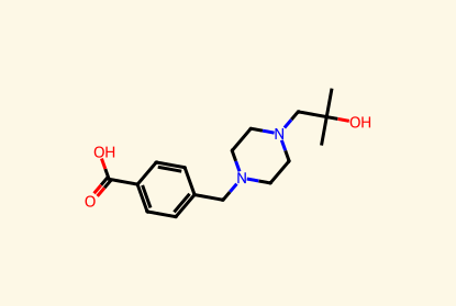 CC(C)(O)CN1CCN(Cc2ccc(C(=O)O)cc2)CC1